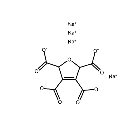 O=C([O-])C1=C(C(=O)[O-])C(C(=O)[O-])OC1C(=O)[O-].[Na+].[Na+].[Na+].[Na+]